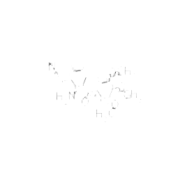 COc1cc(C(=O)c2cccc(CC#N)c2N)cc(OC)c1OC